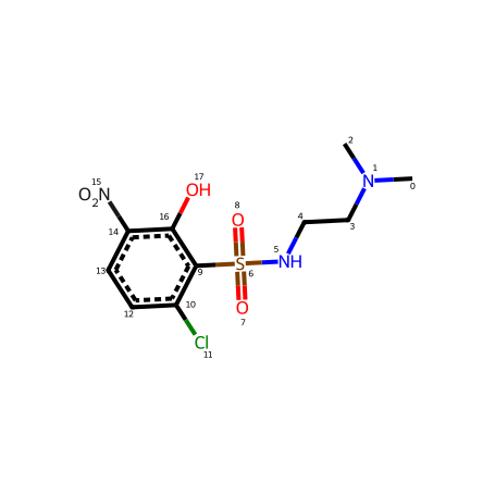 CN(C)CCNS(=O)(=O)c1c(Cl)ccc([N+](=O)[O-])c1O